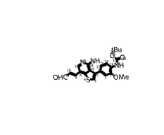 COc1cc(-c2csc3c(C=CC=O)cnc(N)c23)ccc1NC(=O)OC(C)(C)C